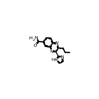 CCCc1nc2ccc(C(N)=O)cc2nc1-c1ncc[nH]1